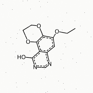 CCOc1cc2ncnc(O)c2c2c1OCCO2